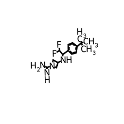 CC(C)(C)c1ccc(C(NC2CN(C(=N)N)C2)C(F)F)cc1